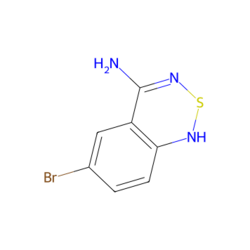 NC1=NSNc2ccc(Br)cc21